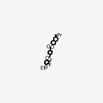 CCCC1CCC2CC(OC(=O)c3ccc(COc4ccc(OCC)c(F)c4F)cc3)CCC2C1